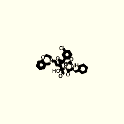 O=CC(O)(CCC(=O)N1CCOc2ccccc2C1)NC(=O)[C@H](CC1CCCCC1)NC(=O)OC1(c2cccc(Cl)c2)CC1